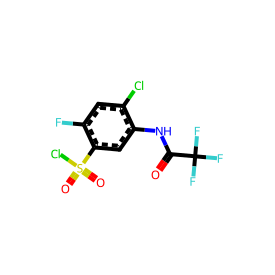 O=C(Nc1cc(S(=O)(=O)Cl)c(F)cc1Cl)C(F)(F)F